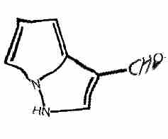 O=[C]c1c[nH]n2cccc12